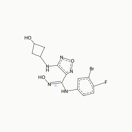 O/N=C(/Nc1ccc(F)c(Br)c1)c1nonc1NC1CC(O)C1